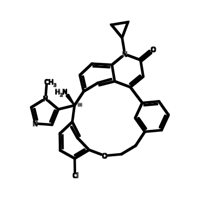 Cn1cncc1[C@@]1(N)c2ccc(Cl)c(c2)OCCc2cccc(c2)-c2cc(=O)n(C3CC3)c3ccc1cc23